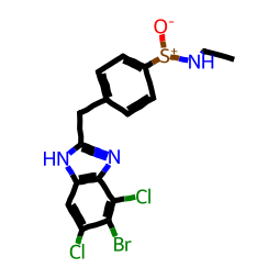 CCN[S+]([O-])c1ccc(Cc2nc3c(Cl)c(Br)c(Cl)cc3[nH]2)cc1